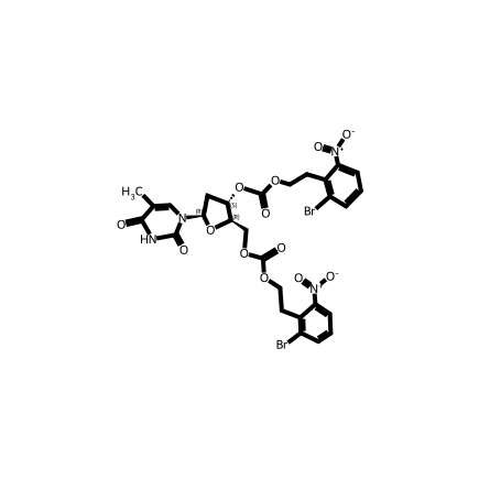 Cc1cn([C@H]2C[C@H](OC(=O)OCCc3c(Br)cccc3[N+](=O)[O-])[C@@H](COC(=O)OCCc3c(Br)cccc3[N+](=O)[O-])O2)c(=O)[nH]c1=O